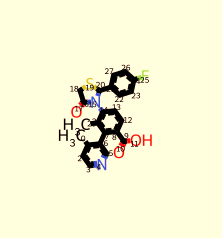 Cc1ccncc1-c1c(C(=O)O)ccc(N2C(=O)CSC2c2ccc(F)cc2)c1C